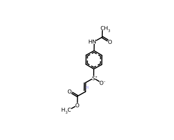 COC(=O)/C=C/[S+]([O-])c1ccc(NC(C)=O)cc1